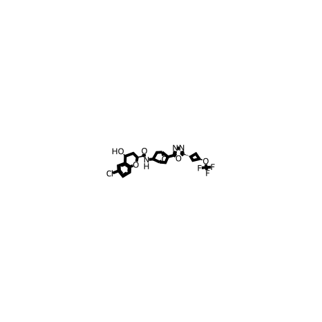 O=C(NC1CC2OC1CC2c1nnc([C@H]2C[C@@H](OC(F)(F)F)C2)o1)[C@@H]1C[C@@H](O)c2cc(Cl)ccc2O1